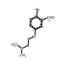 CN(C)CCOc1ccc(Br)c(C=O)c1